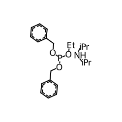 CC(C)NC(C)C.CCOP(OCc1ccccc1)OCc1ccccc1